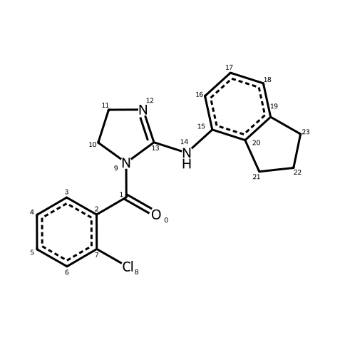 O=C(c1ccccc1Cl)N1CCN=C1Nc1cccc2c1CCC2